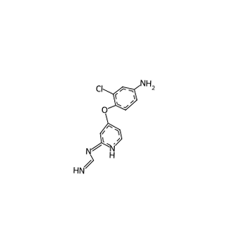 N=C/N=c1/cc(Oc2ccc(N)cc2Cl)cc[nH]1